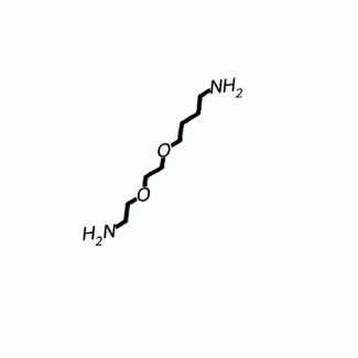 NCCCCOCCOCCN